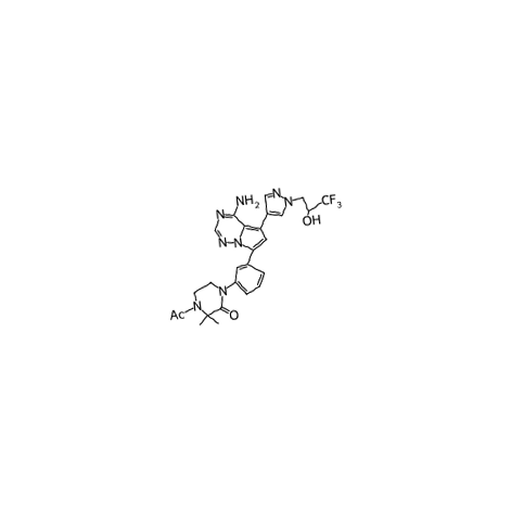 CC(=O)N1CCN(c2cccc(-c3cc(-c4cnn(CC(O)C(F)(F)F)c4)c4c(N)ncnn34)c2)C(=O)C1(C)C